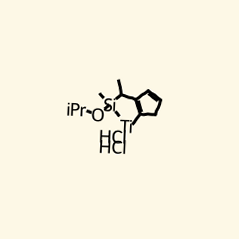 CC(C)O[Si](C)(C)C(C)C1=[C]([Ti])CC=C1.Cl.Cl